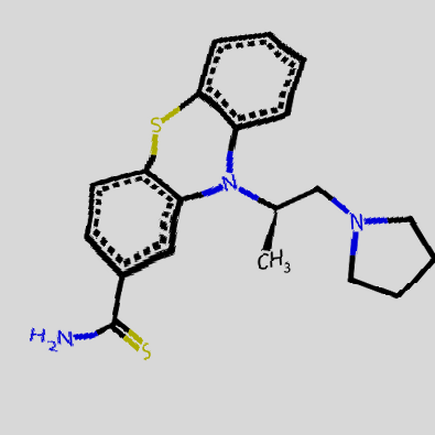 C[C@H](CN1CCCC1)N1c2ccccc2Sc2ccc(C(N)=S)cc21